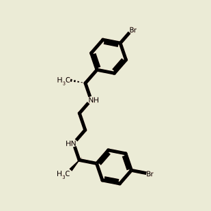 C[C@@H](NCCN[C@H](C)c1ccc(Br)cc1)c1ccc(Br)cc1